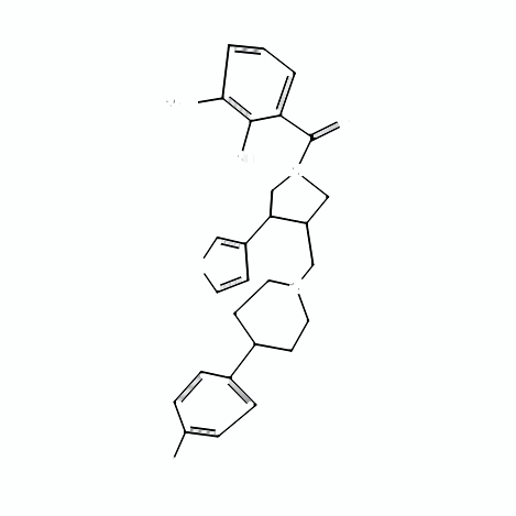 COc1cccc(C(=O)N2CC(CN3CCC(c4ccc(F)cc4)CC3)C(c3ccsc3)C2)c1N